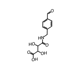 O=Cc1ccc(CNC(=O)C(O)C(O)C(=O)O)cc1